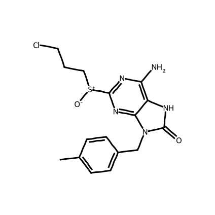 Cc1ccc(Cn2c(=O)[nH]c3c(N)nc([S+]([O-])CCCCl)nc32)cc1